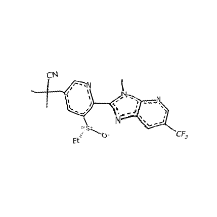 CC[S@@+]([O-])c1cc(C(C)(C)C#N)cnc1-c1nc2cc(C(F)(F)F)cnc2n1C